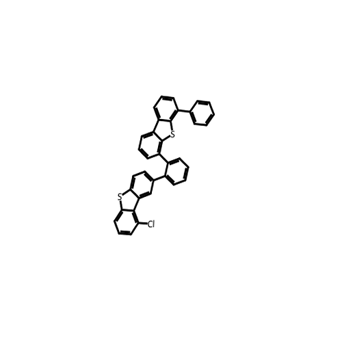 Clc1cccc2sc3ccc(-c4ccccc4-c4cccc5c4sc4c(-c6ccccc6)cccc45)cc3c12